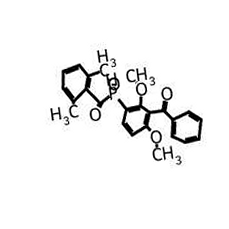 COc1ccc([PH](=O)C(=O)c2c(C)cccc2C)c(OC)c1C(=O)c1ccccc1